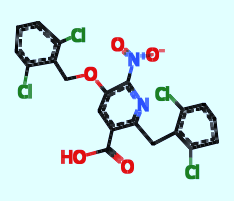 O=C(O)c1cc(OCc2c(Cl)cccc2Cl)c([N+](=O)[O-])nc1Cc1c(Cl)cccc1Cl